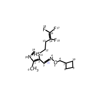 CC1=C(/C=N/OCC2CCC2)[SH](CCC(F)=C(F)F)C=N1